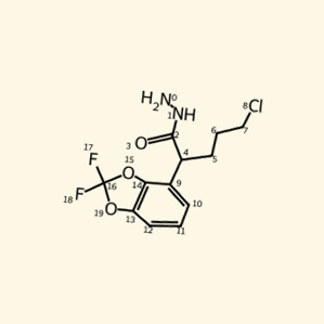 NNC(=O)C(CCCCl)c1cccc2c1OC(F)(F)O2